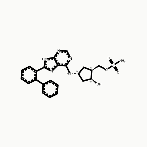 NS(=O)(=O)OC[C@@H]1C[C@@H](Nc2ncnc3[nH]c(-c4ccccc4-c4ccccc4)nc23)C[C@@H]1O